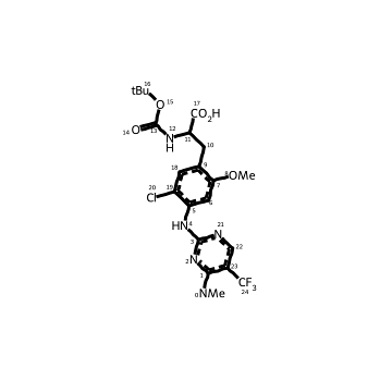 CNc1nc(Nc2cc(OC)c(CC(NC(=O)OC(C)(C)C)C(=O)O)cc2Cl)ncc1C(F)(F)F